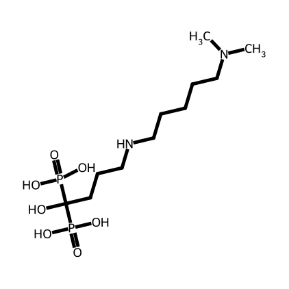 CN(C)CCCCCNCCCC(O)(P(=O)(O)O)P(=O)(O)O